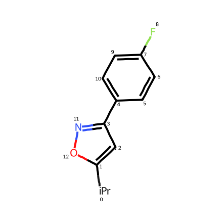 CC(C)c1[c]c(-c2ccc(F)cc2)no1